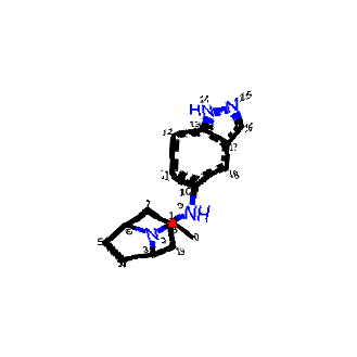 CCN1C2CCC1CC(Nc1ccc3[nH]ncc3c1)C2